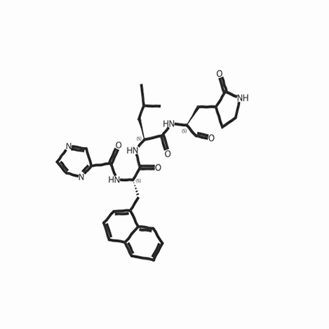 CC(C)C[C@H](NC(=O)[C@H](Cc1cccc2ccccc12)NC(=O)c1cnccn1)C(=O)N[C@H](C=O)CC1CCNC1=O